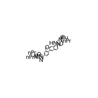 CCCC(=O)N(CCC)Cc1ncc(-c2ccc3c(c2)COc2cc4c(ccc5nc(CN(C(=O)CCC)[C@@H](C)CC)[nH]c54)cc2-3)[nH]1